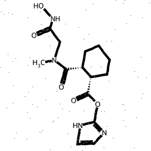 CN(CC(=O)NO)C(=O)[C@@H]1CCCC[C@@H]1C(=O)Oc1ncc[nH]1